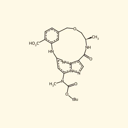 C[C@@H]1COCc2ccc(C(=O)O)c(c2)Nc2cc(N(C)C(=O)OC(C)(C)C)n3ncc(c3n2)C(=O)N1